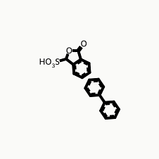 O=C1OC(S(=O)(=O)O)c2ccccc21.c1ccc(-c2ccccc2)cc1